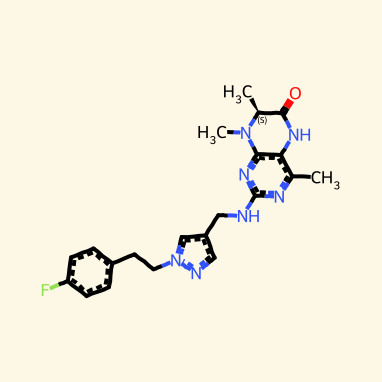 Cc1nc(NCc2cnn(CCc3ccc(F)cc3)c2)nc2c1NC(=O)[C@H](C)N2C